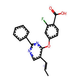 C/C=C/c1cnc(-c2ccccc2)nc1Oc1ccc(C(=O)O)c(F)c1